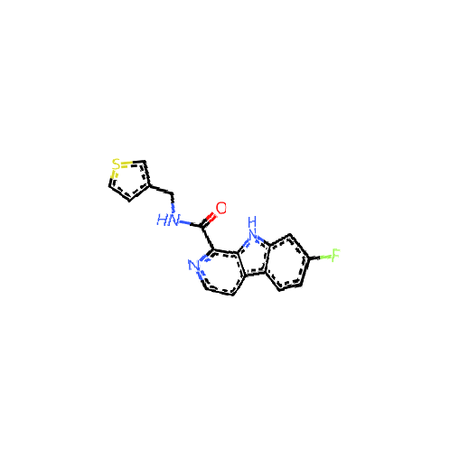 O=C(NCc1ccsc1)c1nccc2c1[nH]c1cc(F)ccc12